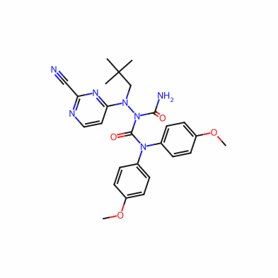 COc1ccc(N(C(=O)N(C(N)=O)N(CC(C)(C)C)c2ccnc(C#N)n2)c2ccc(OC)cc2)cc1